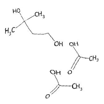 CC(=O)O.CC(=O)O.CC(C)(O)CCO